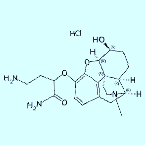 CN1CC[C@]23c4c5ccc(OC(CCN)C(N)=O)c4O[C@H]2[C@@H](O)CC[C@H]3[C@H]1C5.Cl